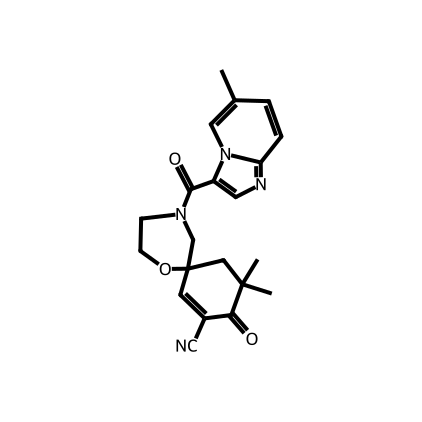 Cc1ccc2ncc(C(=O)N3CCOC4(C=C(C#N)C(=O)C(C)(C)C4)C3)n2c1